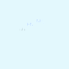 C=CCC(CC=C)(CCC)NN